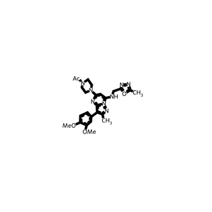 COc1ccc(-c2c(C)nn3c(NCc4nnc(C)o4)cc(N4CCN(C(C)=O)CC4)nc23)cc1OC